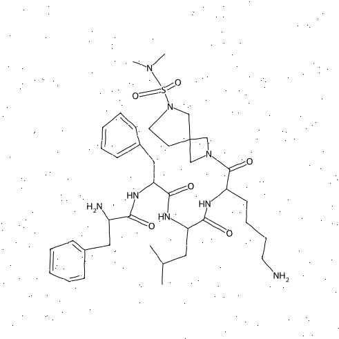 CC(C)CC(NC(=O)C(Cc1ccccc1)NC(=O)C(N)Cc1ccccc1)C(=O)NC(CCCCN)C(=O)N1CC2(CCN(S(=O)(=O)N(C)C)C2)C1